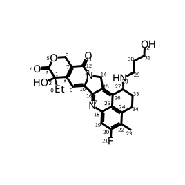 CC[C@@]1(O)C(=O)OCc2c1cc1n(c2=O)Cc2c-1nc1cc(F)c(C)c3c1c2[C@@H](NCCCO)CC3